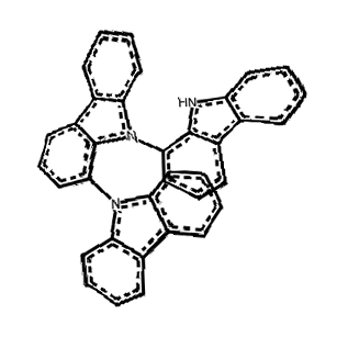 c1ccc2c(c1)[nH]c1c(-n3c4ccccc4c4cccc(-n5c6ccccc6c6ccccc65)c43)cccc12